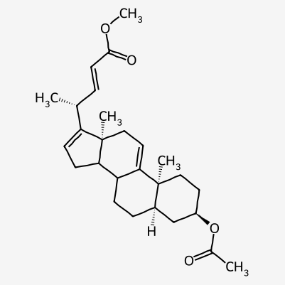 COC(=O)/C=C/[C@@H](C)C1=CCC2C3CC[C@@H]4C[C@H](OC(C)=O)CC[C@]4(C)C3=CC[C@]12C